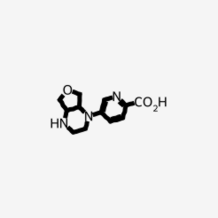 O=C(O)c1ccc(N2CCNC3COCC32)cn1